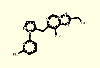 CCCc1c(Cc2ccnn2-c2cccc(C#N)n2)ncn2nc(CO)nc12